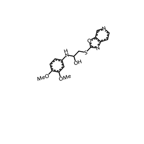 COc1ccc(NC(O)CSc2nc3ccncc3o2)cc1OC